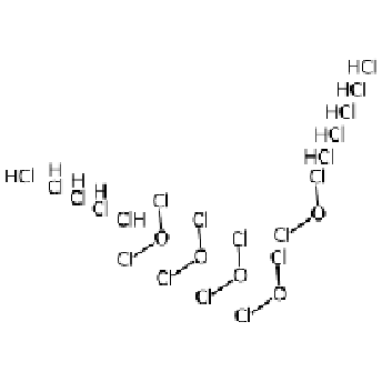 Cl.Cl.Cl.Cl.Cl.Cl.Cl.Cl.Cl.Cl.ClOCl.ClOCl.ClOCl.ClOCl.ClOCl